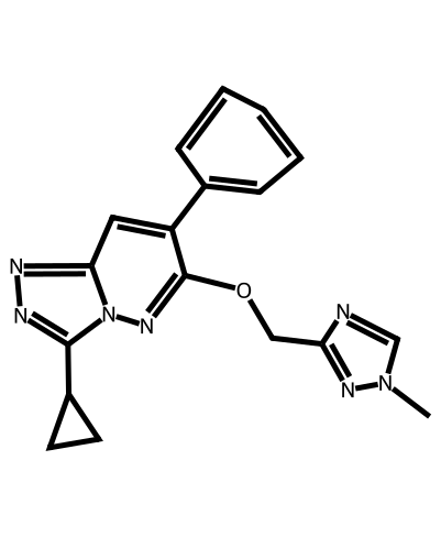 Cn1cnc(COc2nn3c(C4CC4)nnc3cc2-c2ccccc2)n1